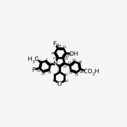 Cc1cc(-n2c(C3CCOCC3)c(-c3ccc(C(=O)O)cc3)c3c(O)cc(F)cc32)ccc1F